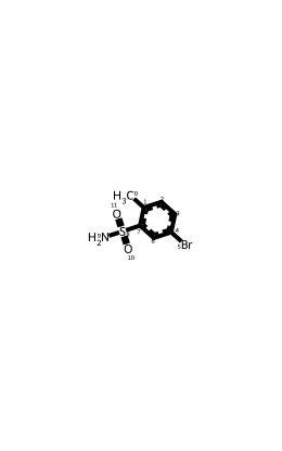 Cc1ccc(Br)cc1S(N)(=O)=O